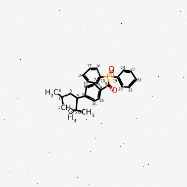 CC(C)CC(c1ccc(C(=O)P(=O)(c2ccccc2)c2ccccc2)cc1)C(C)C